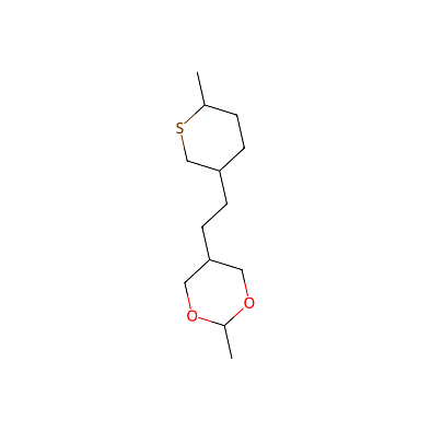 CC1OCC(CCC2CCC(C)SC2)CO1